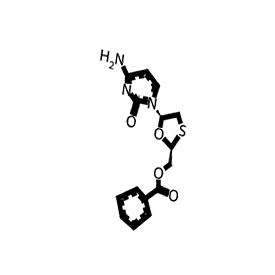 Nc1ccn([C@@H]2CS[C@@H](COC(=O)c3ccccc3)O2)c(=O)n1